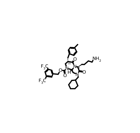 Cc1ccc(C[C@H]2CN(C(=O)OCc3cc(C(F)(F)F)cc(C(F)(F)F)c3)[C@H]3CN(CC4CCCCC4)C(=O)[C@H](CCCCN)N3C2=O)cc1